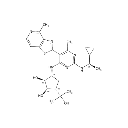 Cc1nc(N[C@H](C)C2CC2)nc(N[C@@H]2C[C@H](C(C)(C)O)[C@@H](O)[C@H]2O)c1-c1nc2c(C)nccc2s1